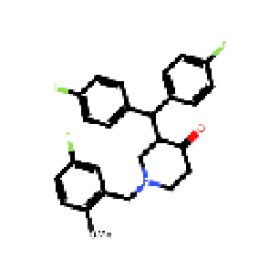 COc1ccc(F)cc1CN1CCC(=O)C(C(c2ccc(F)cc2)c2ccc(F)cc2)C1